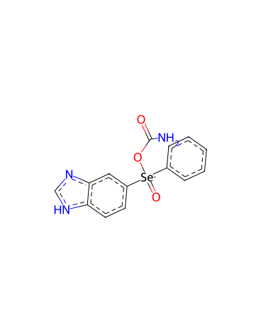 NC(=O)O[Se](=O)(c1ccccc1)c1ccc2[nH]cnc2c1